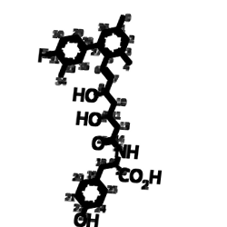 Cc1cc(C)c(C=C[C@H](O)C[C@@H](O)CC(=O)N[C@@H](Cc2ccc(O)cc2)C(=O)O)c(-c2ccc(F)c(C)c2)c1